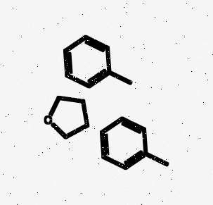 C1CCOC1.Cc1ccccc1.Cc1ccccc1